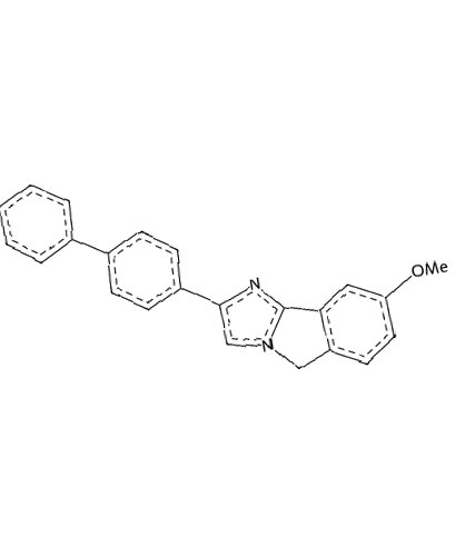 COc1ccc2c(c1)-c1nc(-c3ccc(-c4ccccc4)cc3)cn1C2